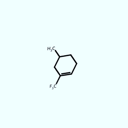 CC1CCC=C(C(F)(F)F)C1